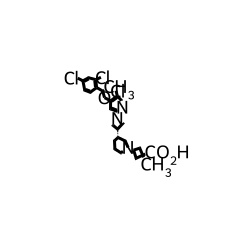 C[C@@H](Oc1cc(N2CC([C@H]3CCCN(C4CC(C)(C(=O)O)C4)C3)C2)ncc1Cl)c1ccc(Cl)cc1Cl